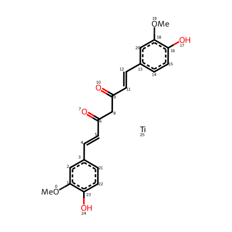 COc1cc(/C=C/C(=O)CC(=O)/C=C/c2ccc(O)c(OC)c2)ccc1O.[Ti]